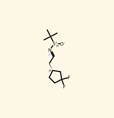 CC(C)(C)[S@@+]([O-])/N=C/C[C@H]1CCC(F)(F)C1